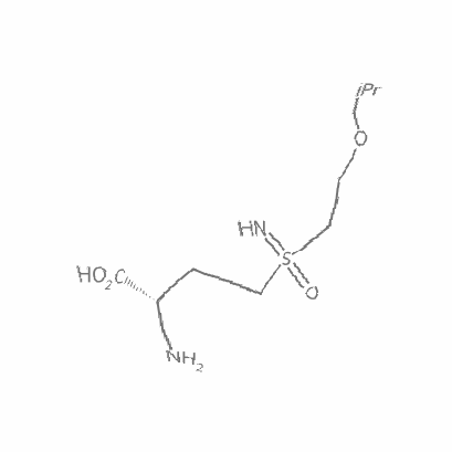 CC(C)OCCS(=N)(=O)CC[C@H](N)C(=O)O